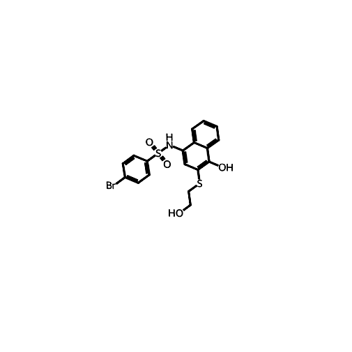 O=S(=O)(Nc1cc(SCCO)c(O)c2ccccc12)c1ccc(Br)cc1